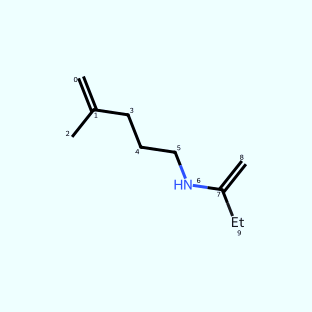 C=C(C)CCCNC(=C)CC